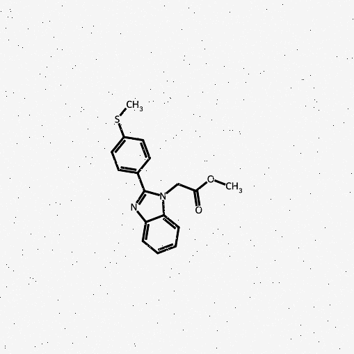 COC(=O)Cn1c(-c2ccc(SC)cc2)nc2ccccc21